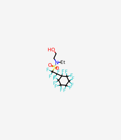 CCN(CCO)S(=O)(=O)C(F)(F)C(F)(F)C1(F)C(F)(F)C(F)(F)C(F)(F)C(F)(F)C1(F)F